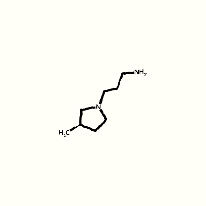 C[C@@H]1CCN(CCCN)C1